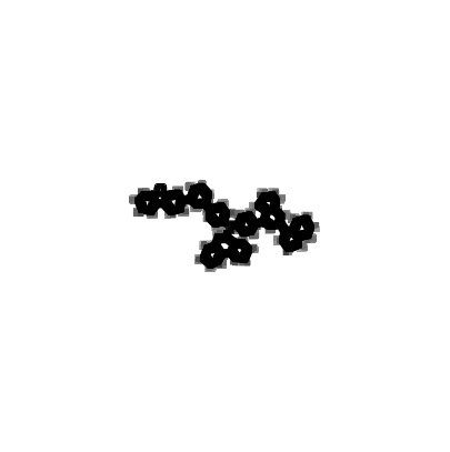 c1cc(-c2ccc(N(c3ccc(-c4cc(-c5cccc6ccccc56)cc5ccccc45)cc3)c3cc4ccccc4c4ccccc34)cc2)cc(-c2ccc3c(c2)oc2ccccc23)c1